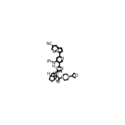 CC(C)Nc1cc(-c2ccc3cc(C#N)cnn23)ncc1-c1nnc(N2C[C@H]3CC[C@@H](C2)[C@@H]3NC(=O)N2CCN(C3COC3)CC2)s1